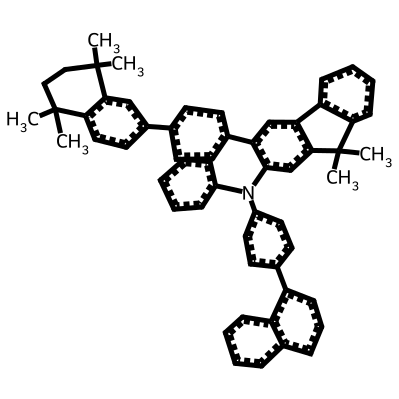 CC1(C)CCC(C)(C)c2cc(-c3ccc(-c4cc5c(cc4N(c4ccccc4)c4ccc(-c6cccc7ccccc67)cc4)C(C)(C)c4ccccc4-5)cc3)ccc21